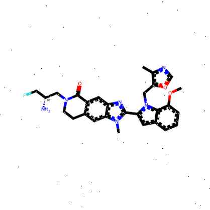 COc1cccc2cc(-c3nc4cc5c(cc4n3C)CCN(C[C@H](N)CF)C5=O)n(Cc3ocnc3C)c12